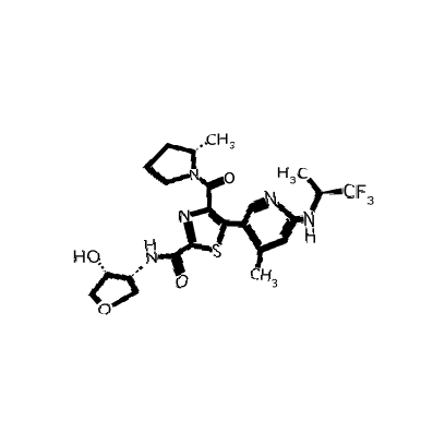 Cc1cc(N[C@@H](C)C(F)(F)F)ncc1-c1sc(C(=O)N[C@@H]2COC[C@@H]2O)nc1C(=O)N1CCC[C@@H]1C